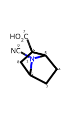 N#CN1C2CCC1C(C(=O)O)C2